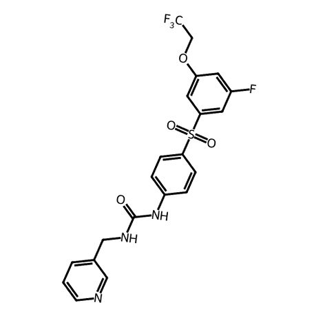 O=C(NCc1cccnc1)Nc1ccc(S(=O)(=O)c2cc(F)cc(OCC(F)(F)F)c2)cc1